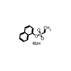 C=CS(=O)(=O)Oc1cccc2ccccc12.[RbH]